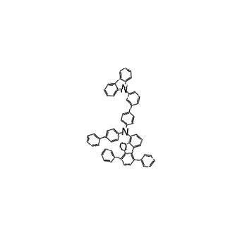 c1ccc(-c2ccc(N(c3ccc(-c4cccc(-n5c6ccccc6c6ccccc65)c4)cc3)c3cccc4c3oc3c(-c5ccccc5)ccc(-c5ccccc5)c34)cc2)cc1